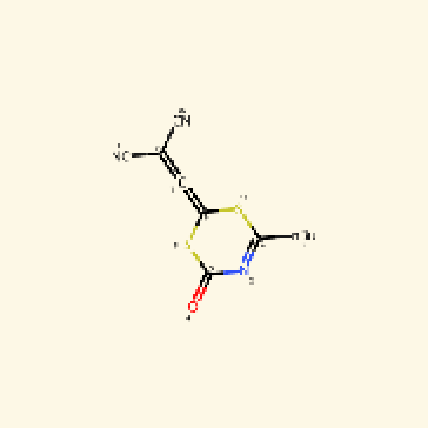 CCCCC1=NC(=O)SC(=C=C(C#N)C#N)S1